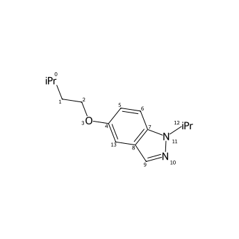 CC(C)CCOc1ccc2c(cnn2C(C)C)c1